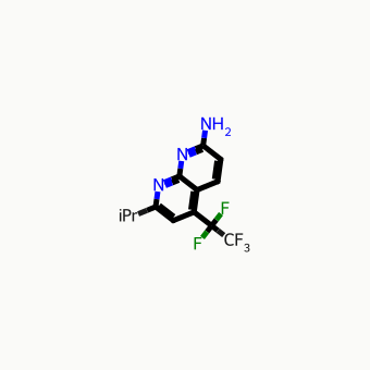 CC(C)c1cc(C(F)(F)C(F)(F)F)c2ccc(N)nc2n1